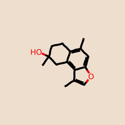 Cc1cc2occ(C)c2c2c1CCC(C)(O)C2